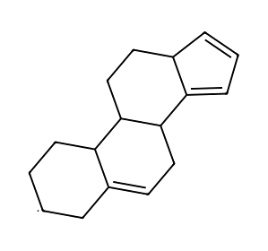 [CH]1CCC2C(=CCC3C4=CC=CC4CCC23)C1